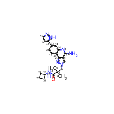 CC(C)(Cn1cc2c(N)nc3cc(-c4ccn[nH]4)ccc3c2n1)C(=O)NC1CCC1